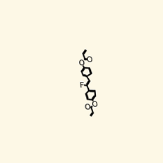 C=CC(=O)Oc1ccc(C=C(F)c2ccc(OC(=O)C=C)cc2)cc1